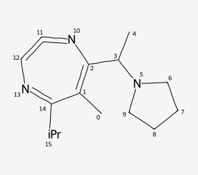 CC1=C(C(C)N2CCCC2)N=C=CN=C1C(C)C